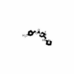 Cc1ccc(COC(=O)N2CCC(CNc3ccccn3)C(F)(F)C2)cc1